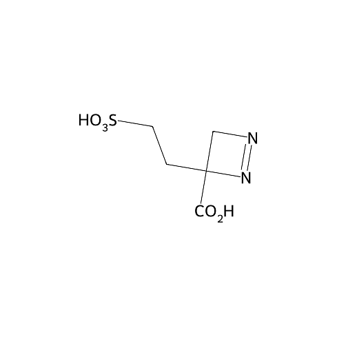 O=C(O)C1(CCS(=O)(=O)O)CN=N1